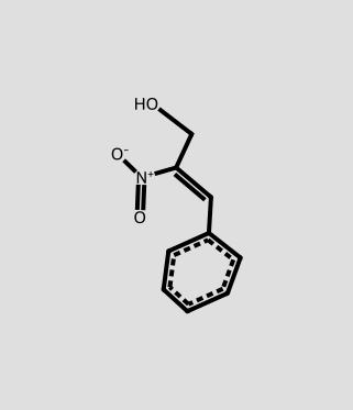 O=[N+]([O-])/C(=C\c1ccccc1)CO